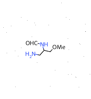 COCC(CN)NC=O